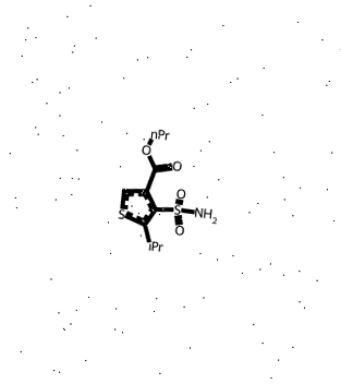 CCCOC(=O)c1csc(C(C)C)c1S(N)(=O)=O